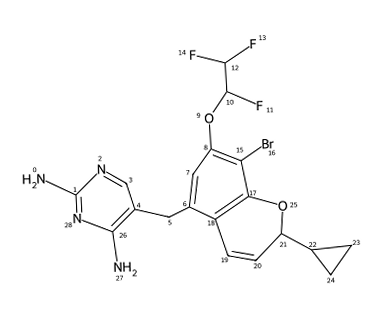 Nc1ncc(Cc2cc(OC(F)C(F)F)c(Br)c3c2C=CC(C2CC2)O3)c(N)n1